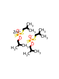 CC(C)COP([O-])(=S)SCC(C)C.CC(C)COP([O-])(=S)SCC(C)C.[Zn+2]